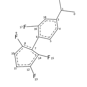 CC(C)c1ccc(-c2c(F)ccc(F)c2F)c(F)c1